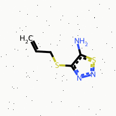 C=CCSc1nnsc1N